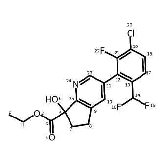 CCOC(=O)C1(O)CCc2cc(-c3c(C(F)F)ccc(Cl)c3F)cnc21